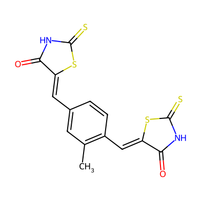 Cc1cc(/C=C2\SC(=S)NC2=O)ccc1/C=C1\SC(=S)NC1=O